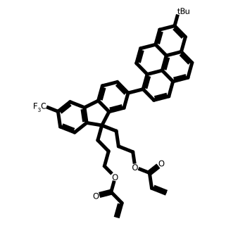 C=CC(=O)OCCCC1(CCCOC(=O)C=C)c2ccc(C(F)(F)F)cc2-c2ccc(-c3ccc4ccc5cc(C(C)(C)C)cc6ccc3c4c56)cc21